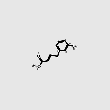 COC(=O)C=CCc1cccc(O)c1